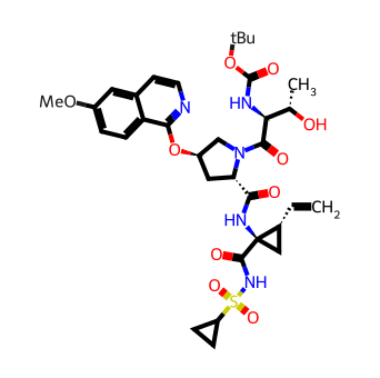 C=C[C@@H]1C[C@]1(NC(=O)[C@@H]1C[C@@H](Oc2nccc3cc(OC)ccc23)CN1C(=O)[C@@H](NC(=O)OC(C)(C)C)[C@H](C)O)C(=O)NS(=O)(=O)C1CC1